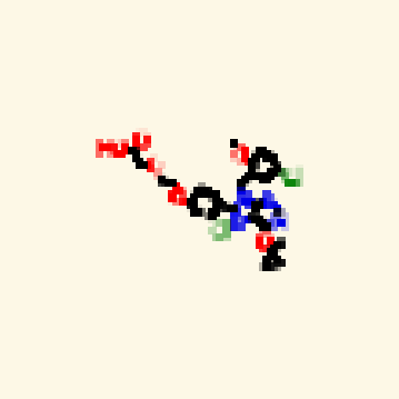 COc1ccc(Cl)cc1Cn1c(-c2ccc(OCCOCC(=O)O)cc2Cl)nc2c(OC3(C)CC3)ncnc21